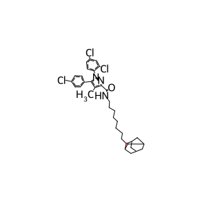 Cc1c(C(=O)NCCCCCCCCC2C3CC4CC(C3)CC2C4)nn(-c2ccc(Cl)cc2Cl)c1-c1ccc(Cl)cc1